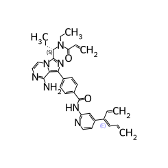 C=C/C=C(\C=C)c1ccnc(NC(=O)c2ccc(-c3nc([C@H](CC)N(CC)C(=O)C=C)n4ccnc(N)c34)cc2)c1